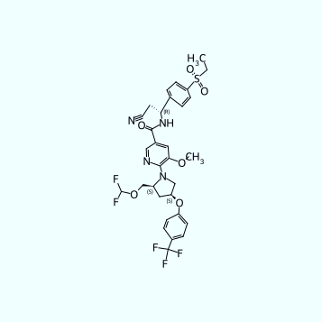 CCS(=O)(=O)c1ccc([C@@H](CC#N)NC(=O)c2cnc(N3C[C@@H](Oc4ccc(C(F)(F)F)cc4)C[C@H]3COC(F)F)c(OC)c2)cc1